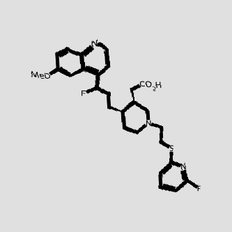 COc1ccc2nccc(C(F)CC[C@@H]3CCN(CCSc4cccc(F)n4)C[C@@H]3CC(=O)O)c2c1